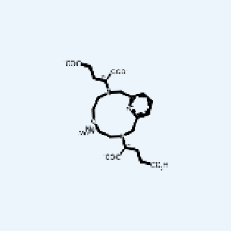 O=C([O-])CC[C@@H](C(=O)[O-])N1CCOCCN([C@@H](CCC(=O)O)C(=O)[O-])Cc2cccc(n2)C1.[Mn+2].[Na+]